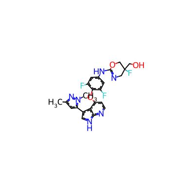 Cc1cc(-c2c[nH]c3nccc(Oc4c(F)cc(NC5=NC[C@@](F)(CO)CO5)cc4F)c23)n(C)n1